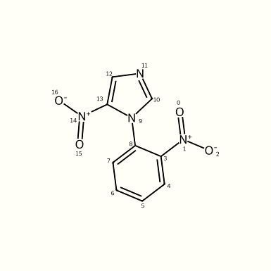 O=[N+]([O-])c1ccccc1-n1cncc1[N+](=O)[O-]